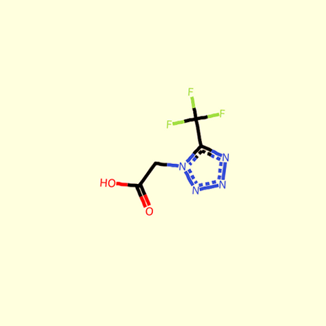 O=C(O)Cn1nnnc1C(F)(F)F